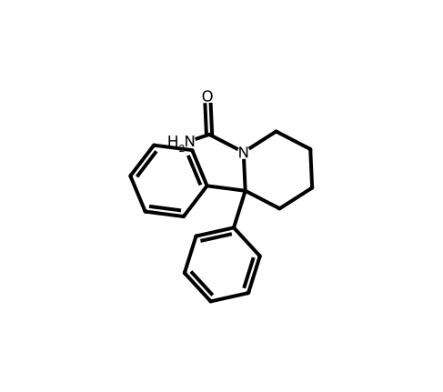 NC(=O)N1CCCCC1(c1ccccc1)c1ccccc1